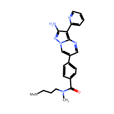 CNCCCN(C)C(=O)c1ccc(-c2cnc3c(-c4ccccn4)c(N)nn3c2)cc1